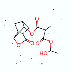 CC(O)OC(=O)C(C)C(=O)OC1C2CC3C(=O)OC1C3C2